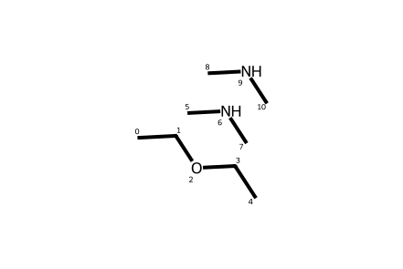 CCOCC.CNC.CNC